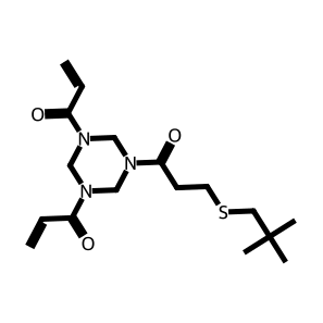 C=CC(=O)N1CN(C(=O)C=C)CN(C(=O)CCSCC(C)(C)C)C1